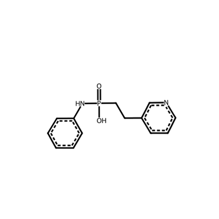 O=P(O)(CCc1cccnc1)Nc1ccccc1